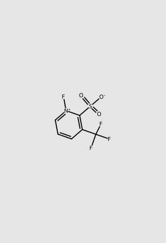 O=S(=O)([O-])c1c(C(F)(F)F)ccc[n+]1F